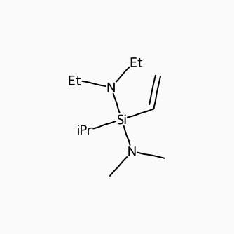 C=C[Si](C(C)C)(N(C)C)N(CC)CC